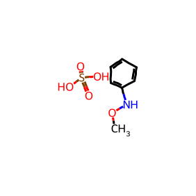 CONc1ccccc1.O=S(=O)(O)O